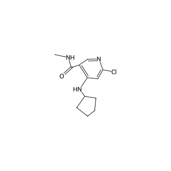 CNC(=O)c1cnc(Cl)cc1NC1CCCC1